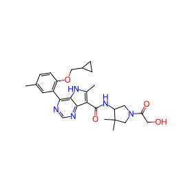 Cc1ccc(OCC2CC2)c(-c2ncnc3c(C(=O)NC4CN(C(=O)CO)CC4(C)C)c(C)[nH]c23)c1